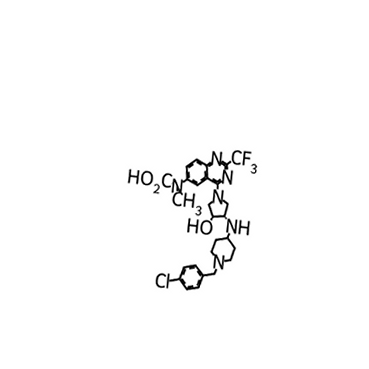 CN(C(=O)O)c1ccc2nc(C(F)(F)F)nc(N3C[C@H](NC4CCN(Cc5ccc(Cl)cc5)CC4)[C@@H](O)C3)c2c1